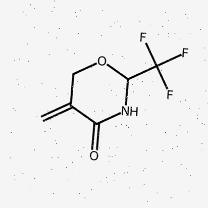 C=C1COC(C(F)(F)F)NC1=O